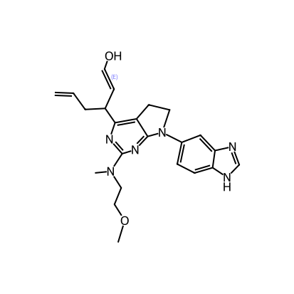 C=CCC(/C=C/O)c1nc(N(C)CCOC)nc2c1CCN2c1ccc2[nH]cnc2c1